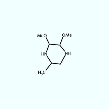 COC1NCC(C)NC1OC